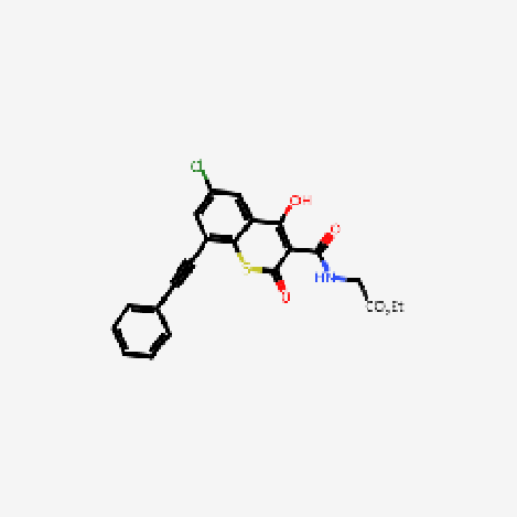 CCOC(=O)CNC(=O)c1c(O)c2cc(Cl)cc(C#Cc3ccccc3)c2sc1=O